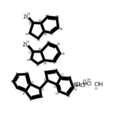 C1=CC(C2C=Cc3ccccc32)c2ccccc21.Cl.Cl.Cl.Cl.[Zr][CH]1CCC2C=CC=CC12.[Zr][CH]1CCC2C=CC=CC12